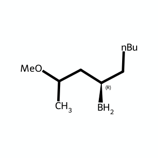 B[C@H](CCCCC)CC(C)OC